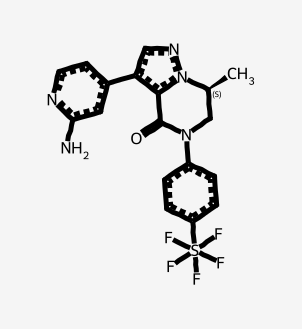 C[C@H]1CN(c2ccc(S(F)(F)(F)(F)F)cc2)C(=O)c2c(-c3ccnc(N)c3)cnn21